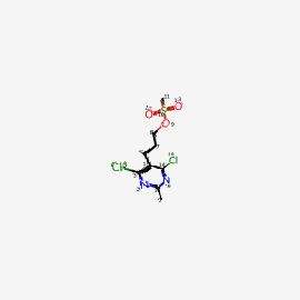 Cc1nc(Cl)c(CCCOS(C)(=O)=O)c(Cl)n1